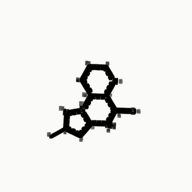 Cc1cc2[nH]c(=O)c3ncccc3n2n1